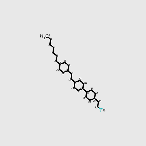 CCCCCCCC1CCC(CCC2CCC(C3CCC(CCF)CC3)CC2)CC1